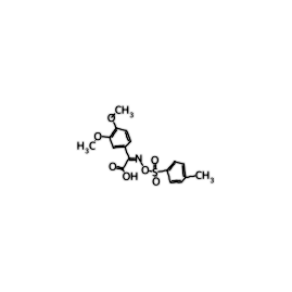 COc1ccc(C(=NOS(=O)(=O)c2ccc(C)cc2)C(=O)O)cc1OC